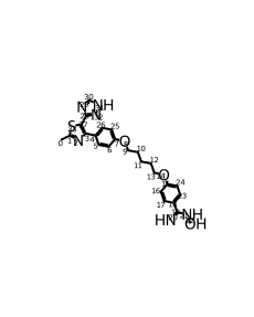 Cc1nc(-c2ccc(OCCCCCOc3ccc(C(=N)NO)cc3)cc2)c(-c2nc[nH]n2)s1